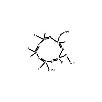 CCCOP1(F)=NP(F)(OC)=NP(F)(F)=NP(F)(F)=NP(F)(OCCC)=N1